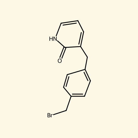 O=c1[nH]cccc1Cc1ccc(CBr)cc1